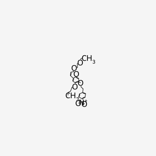 CCCCOc1cc(/C=C\C(=O)OCCOCC)ccc1OCCc1ccc([N+](=O)[O-])cc1